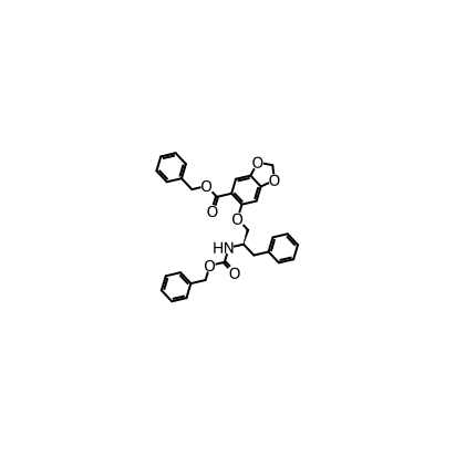 O=C(N[C@@H](COc1cc2c(cc1C(=O)OCc1ccccc1)OCO2)Cc1ccccc1)OCc1ccccc1